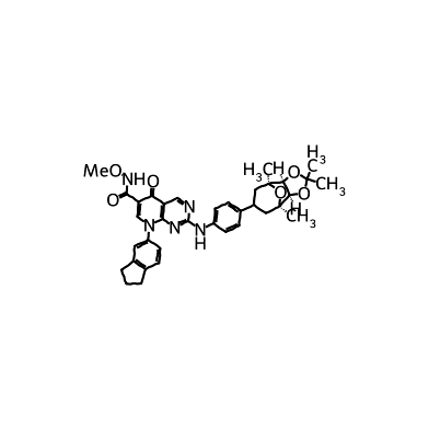 CONC(=O)c1cn(-c2ccc3c(c2)CCC3)c2nc(Nc3ccc(C4C[C@@]5(C)O[C@@](C)(C4)[C@H]4OC(C)(C)O[C@H]45)cc3)ncc2c1=O